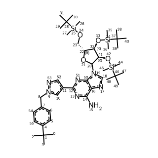 CC(C)(C)c1ccc(Cn2cc(-c3nc(N)c4ncn(C5O[C@H](CO[Si](C)(C)C(C)(C)C)[C@@H](O[Si](C)(C)C(C)(C)C)[C@H]5O[Si](C)(C)C(C)(C)C)c4n3)cn2)cc1